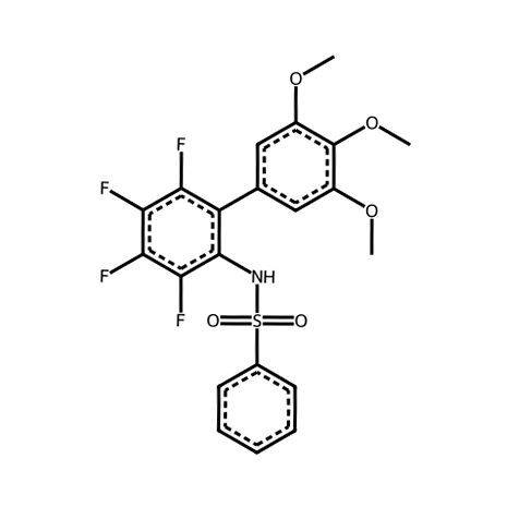 COc1cc(-c2c(F)c(F)c(F)c(F)c2NS(=O)(=O)c2ccccc2)cc(OC)c1OC